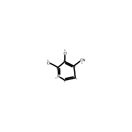 N#Cc1ccnc(Cl)c1Cl